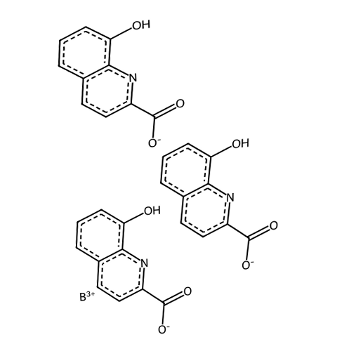 O=C([O-])c1ccc2cccc(O)c2n1.O=C([O-])c1ccc2cccc(O)c2n1.O=C([O-])c1ccc2cccc(O)c2n1.[B+3]